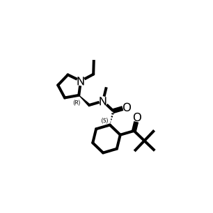 CCN1CCC[C@@H]1CN(C)C(=O)[C@H]1CCCCC1C(=O)C(C)(C)C